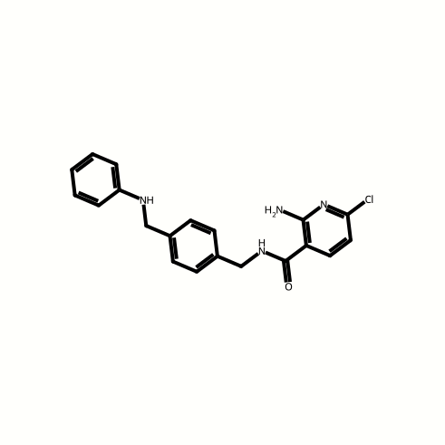 Nc1nc(Cl)ccc1C(=O)NCc1ccc(CNc2ccccc2)cc1